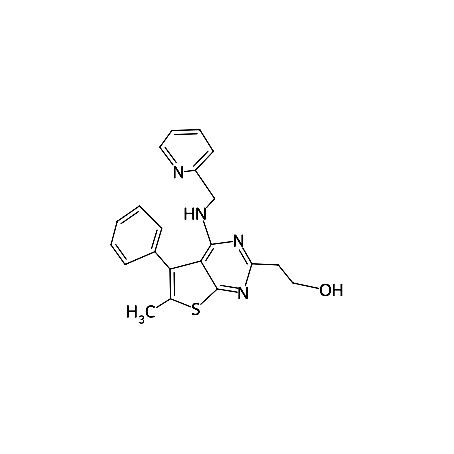 Cc1sc2nc(CCO)nc(NCc3ccccn3)c2c1-c1ccccc1